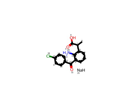 CC(C(=O)O)c1cccc(C(=O)c2ccc(Cl)cc2)c1N.[NaH]